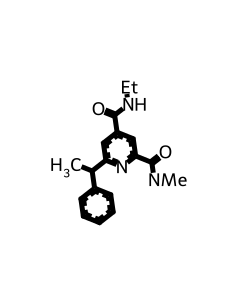 CCNC(=O)c1cc(C(=O)NC)nc(C(C)c2ccccc2)c1